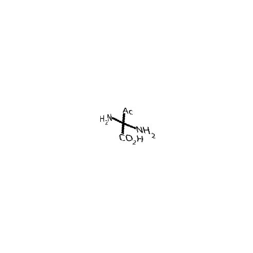 CC(=O)C(N)(N)C(=O)O